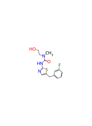 CN(CCO)C(=O)Nc1ncc(Cc2cccc(F)c2)s1